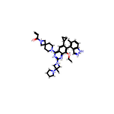 C=CC(=O)N1CC2(CCN(c3nc(N4CC(C)(N5CCCC5)C4)nc4c(OCC)c(-c5c(C)ccc6[nH]ncc56)c(C5CC5)cc34)CC2)C1